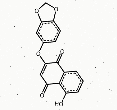 O=C1C(Oc2ccc3c(c2)OCO3)=CC(=O)c2c(O)cccc21